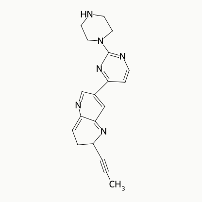 CC#CC1CC=c2ncc(-c3ccnc(N4CCNCC4)n3)cc2=N1